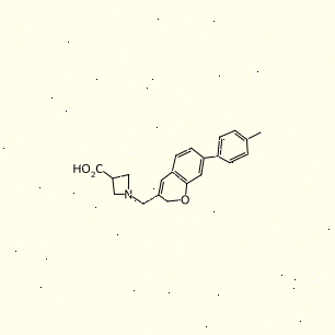 Cc1ccc(-c2ccc3c(c2)OCC(CN2CC(C(=O)O)C2)=C3)cc1